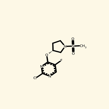 CS(=O)(=O)N1CC[C@@H](Oc2nc(Cl)ncc2F)C1